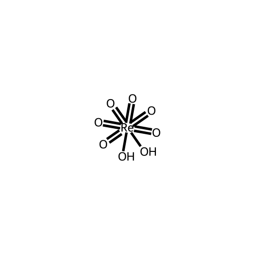 [O]=[Re](=[O])(=[O])(=[O])(=[O])(=[O])([OH])[OH]